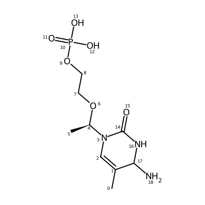 CC1=CN([C@@H](C)OCCOP(=O)(O)O)C(=O)NC1N